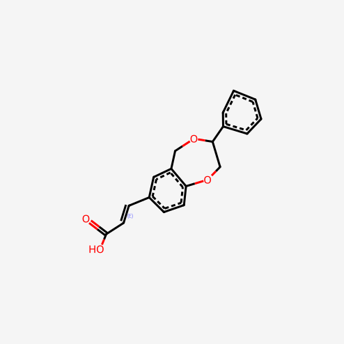 O=C(O)/C=C/c1ccc2c(c1)COC(c1ccccc1)CO2